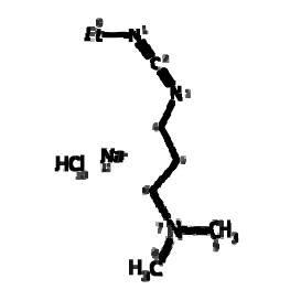 CCN=C=NCCCN(C)C.Cl.[Na]